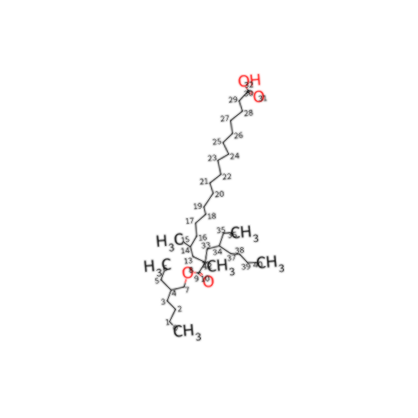 CCCCC(CC)COC(=O)C(C)(CC(C)CCCCCCCCCCCCCCC(=O)O)CC(CC)CCCC